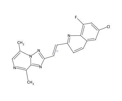 Cc1ncc(C)n2nc(/C=C/c3ccc4cc(Cl)cc(F)c4n3)nc12